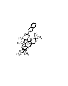 CC1=C[C@]23C(=O)[C@@H](C=C4COC(C)(C)O[C@H]4[C@]2(O)[C@H]1OC(=O)N1Cc2ccccc2C1)[C@H]1[C@@H](C[C@H]3C)C1(C)C